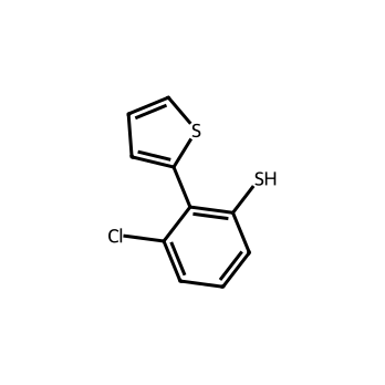 Sc1cccc(Cl)c1-c1cccs1